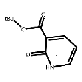 CC(C)(C)OC(=O)c1ccc[nH]c1=O